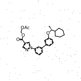 CC(=O)OCOC(=O)c1cnn(-c2cccc(-c3cccc(O[C@@H](C)C4CCCCC4)c3)c2)c1